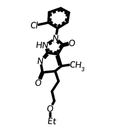 CCOCCCC1C(=O)N=c2[nH]n(-c3ccccc3Cl)c(=O)c2=C1C